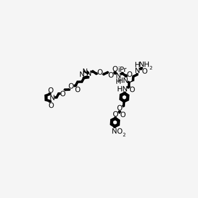 CC(C)C(NC(=O)OCCOCCn1cc(CCC(=O)OCCOCCN2C(=O)C=CC2=O)nn1)C(=O)N[C@@H](CCCNC(N)=O)C(=O)Nc1ccc(COC(=O)Oc2ccc([N+](=O)[O-])cc2)cc1